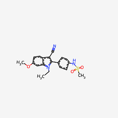 CCn1c(-c2ccc(NS(C)(=O)=O)cc2)c(C#N)c2ccc(OC)cc21